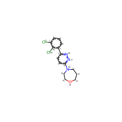 Clc1cccc(-c2ccc(N3CCCOCC3)nn2)c1Cl